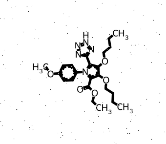 CCCCOc1c(OCCCC)c(-c2nn[nH]n2)n(-c2ccc(OC)cc2)c1C(=O)OCC